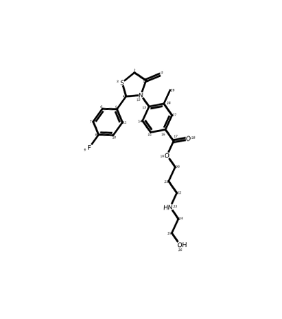 C=C1CSC(c2ccc(F)cc2)N1c1ccc(C(=O)OCCCNCCO)cc1C